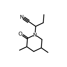 CCC(C#N)N1CC(C)CC(C)C1=O